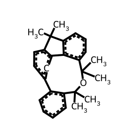 CC1(C)OC(C)(C)c2cccc3c2-c2cc(ccc2C3(C)C)-c2ccccc21